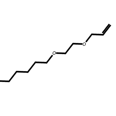 C=CCOCCOCCCCCC